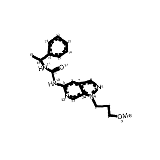 COCCCn1ncc2cc(NC(=O)NC(C)c3ccccc3)ncc21